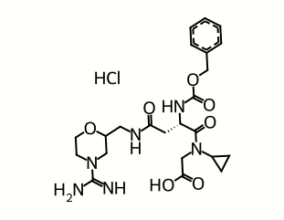 Cl.N=C(N)N1CCOC(CNC(=O)C[C@H](NC(=O)OCc2ccccc2)C(=O)N(CC(=O)O)C2CC2)C1